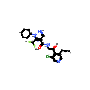 CCc1cncc(Cl)c1C(=O)CNC(=O)/C(C=N)=C(/NC1CCCCC1)C(F)F